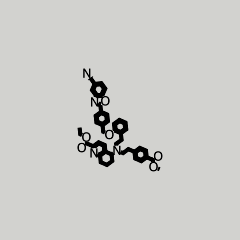 CCOC(=O)c1ccc2c(n1)CCCC2N(CCc1ccc(C(=O)OC)cc1)CCc1ccccc1OCc1ccc(-c2nc3cc(C#N)ccc3o2)cc1